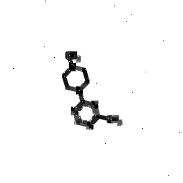 Cc1n[c]nc(N2CCN(C)CC2)n1